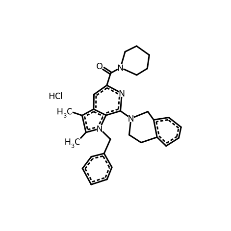 Cc1c(C)n(Cc2ccccc2)c2c(N3CCc4ccccc4C3)nc(C(=O)N3CCCCC3)cc12.Cl